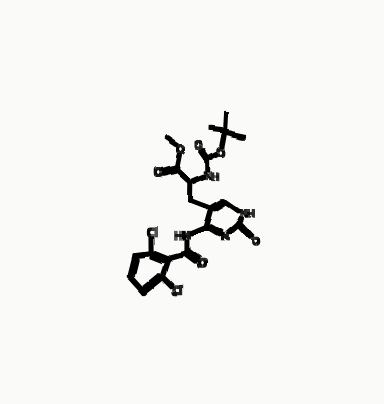 COC(=O)C(Cc1c[nH]c(=O)nc1NC(=O)c1c(Cl)cccc1Cl)NC(=O)OC(C)(C)C